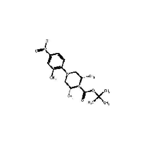 Cc1cc([N+](=O)[O-])ccc1N1C[C@@H](C)N(C(=O)OC(C)(C)C)[C@@H](C)C1